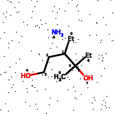 CCC(CCO)C(C)(O)CC.N